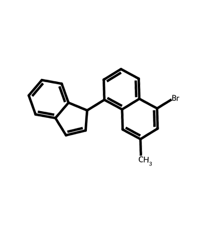 Cc1cc(Br)c2cccc(C3C=Cc4ccccc43)c2c1